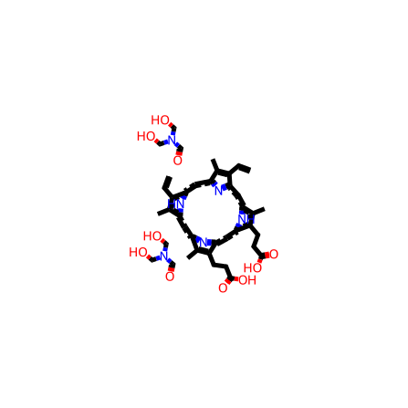 C=CC1=C(C)c2cc3[nH]c(cc4nc(cc5[nH]c(cc1n2)c(C)c5CCC(=O)O)C(CCC(=O)O)=C4C)c(C)c3C=C.O=CN(CO)CO.O=CN(CO)CO